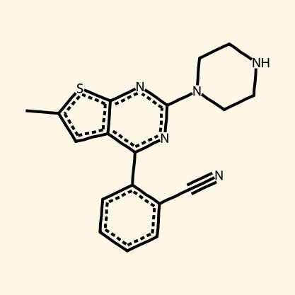 Cc1cc2c(-c3ccccc3C#N)nc(N3CCNCC3)nc2s1